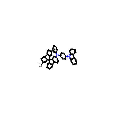 CCc1ccc2c(c1)C1(c3ccccc3-c3ccc(N(c4ccccc4)c4ccc(-n5c6ccccc6c6ccccc65)cc4)cc31)c1cc(CC)ccc1-2